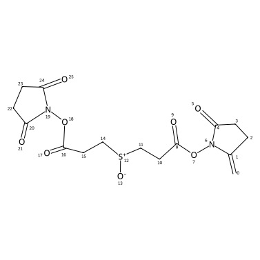 C=C1CCC(=O)N1OC(=O)CC[S+]([O-])CCC(=O)ON1C(=O)CCC1=O